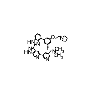 CN(C)Cc1cncc(-c2cc3c(-c4nc5c(-c6cc(F)cc(OCCN7CCCC7)c6)cccc5[nH]4)n[nH]c3cn2)c1